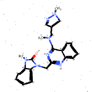 CN(Cc1cnn(C)c1)c1nc(Cn2c(=O)n(C)c3ccccc32)nc2ccccc12